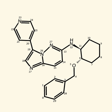 c1ccc(CO[C@H]2CCCC[C@@H]2Nc2ccc3ncc(-c4ccncc4)n3n2)cc1